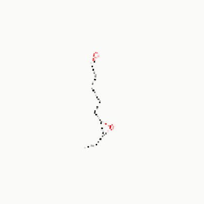 CCC1OC1CCCCC=O